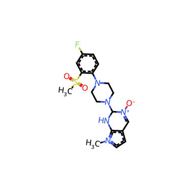 Cn1ccc2c1NC(N1CCN(c3ccc(F)cc3S(C)(=O)=O)CC1)[N+]([O-])=C2